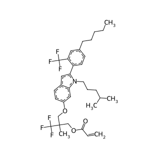 C=CC(=O)OCC(C)(COc1ccc2cc(-c3ccc(CCCCC)cc3C(F)(F)F)n(CCCC(C)C)c2c1)C(F)(F)F